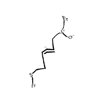 CCSC/C=C/C[S+]([O-])CC